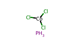 P.[Cl][Co]([Cl])[Cl]